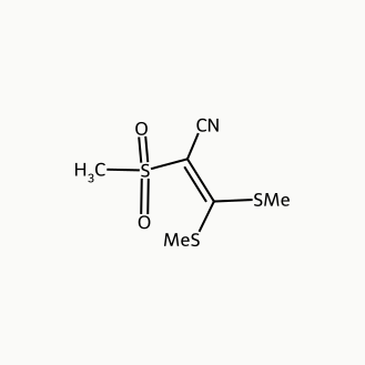 CSC(SC)=C(C#N)S(C)(=O)=O